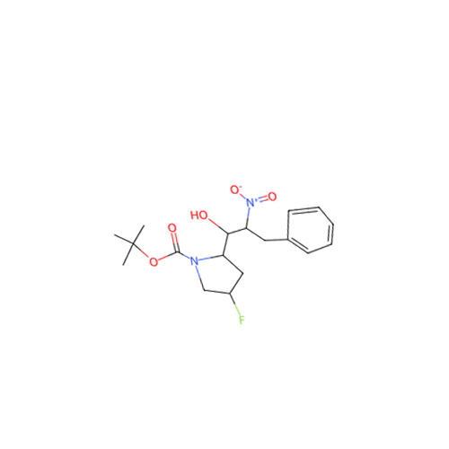 CC(C)(C)OC(=O)N1CC(F)CC1C(O)C(Cc1ccccc1)[N+](=O)[O-]